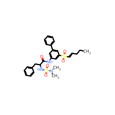 CCC/C=C/S(=O)(=O)c1cc(NC(=O)C(Cc2ccccc2)NS(=O)(=O)N(C)C)cc(-c2ccccc2)c1